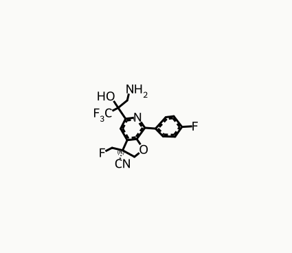 N#C[C@@]1(CF)COc2c1cc(C(O)(CN)C(F)(F)F)nc2-c1ccc(F)cc1